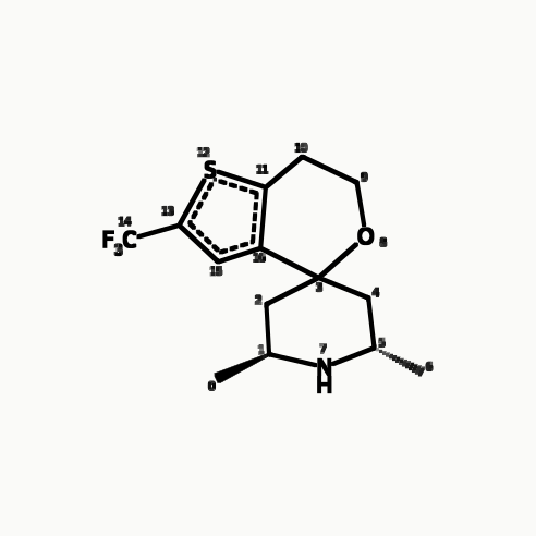 C[C@H]1CC2(C[C@H](C)N1)OCCc1sc(C(F)(F)F)cc12